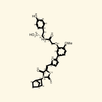 COc1ccc(-c2ccc(C=C3SC(=S)N(C4CC5CCC4C5)C3=O)o2)cc1OCC(=O)N[C@@H](Cc1ccc(O)cc1)C(=O)O